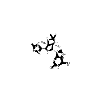 Cc1noc([C@H]2O[C@@H](n3cnc4c(N)nc(Cl)nc43)[C@@H]3OC(C)(C)O[C@@H]32)n1